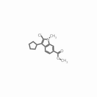 COC(=O)c1ccc2c(C3CCCC3)c(Cl)n(C)c2c1